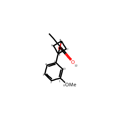 COc1cccc(C23CC(C2)OC3=O)c1